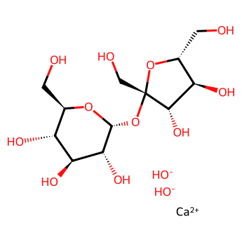 OC[C@H]1O[C@@](CO)(O[C@H]2O[C@H](CO)[C@@H](O)[C@H](O)[C@H]2O)[C@@H](O)[C@@H]1O.[Ca+2].[OH-].[OH-]